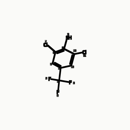 FC(F)(F)c1cc(Cl)c(S)c(Cl)c1